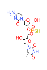 Cc1cn([C@H]2CC(O)[C@@H](COP(=O)(S)OC3C[C@H](n4ccc(N)nc4=O)O[C@@H]3CO)O2)c(=O)[nH]c1=O